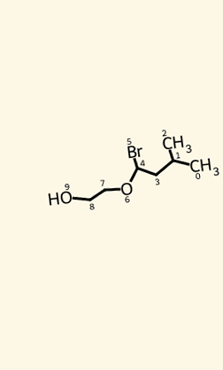 CC(C)CC(Br)OCCO